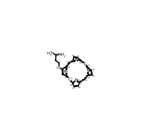 NC(N)CCOc1cc2cc3nc(cc4ccc(cc5nc(cc1[nH]2)C=C5)[nH]4)C=C3